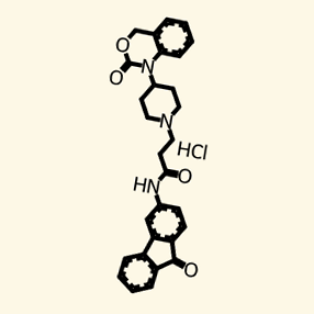 Cl.O=C(CCN1CCC(N2C(=O)OCc3ccccc32)CC1)Nc1ccc2c(c1)-c1ccccc1C2=O